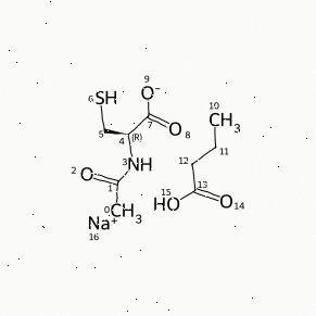 CC(=O)N[C@@H](CS)C(=O)[O-].CCCC(=O)O.[Na+]